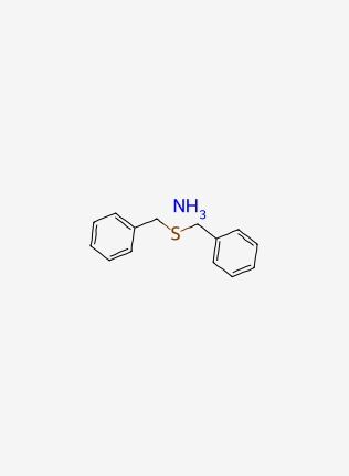 N.c1ccc(CSCc2ccccc2)cc1